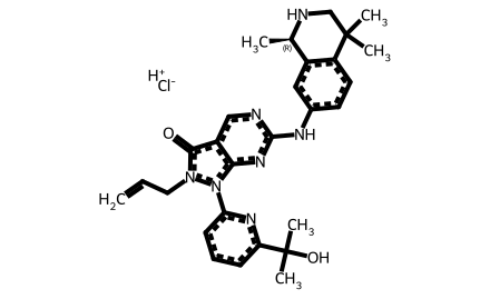 C=CCn1c(=O)c2cnc(Nc3ccc4c(c3)[C@@H](C)NCC4(C)C)nc2n1-c1cccc(C(C)(C)O)n1.[Cl-].[H+]